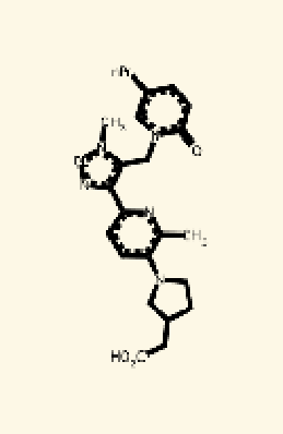 CCCc1ccc(=O)n(Cc2c(-c3ccc(N4CCC(CC(=O)O)C4)c(C)n3)nnn2C)c1